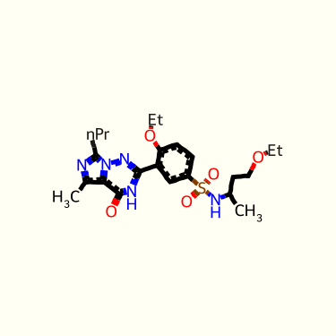 CCCc1nc(C)c2c(=O)[nH]c(-c3cc(S(=O)(=O)NC(C)CCOCC)ccc3OCC)nn12